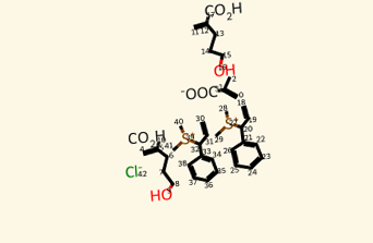 C=C(C)C(=O)[O-].C=C(CCCO)C(=O)O.C=C(CCCO)C(=O)O.C=CC(c1ccccc1)[S+](C)C.C=CC(c1ccccc1)[S+](C)C.[Cl-]